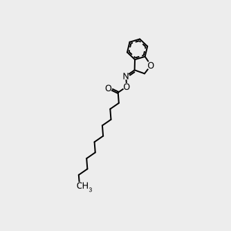 CCCCCCCCCCCC(=O)O/N=C1\COc2ccccc21